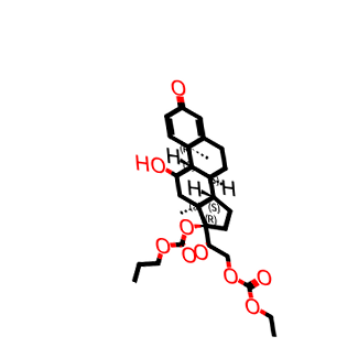 CCCOC(=O)O[C@]1(C(=O)COC(=O)OCC)CC[C@H]2[C@@H]3CCC4=CC(=O)C=C[C@]4(C)[C@H]3C(O)C[C@@]21C